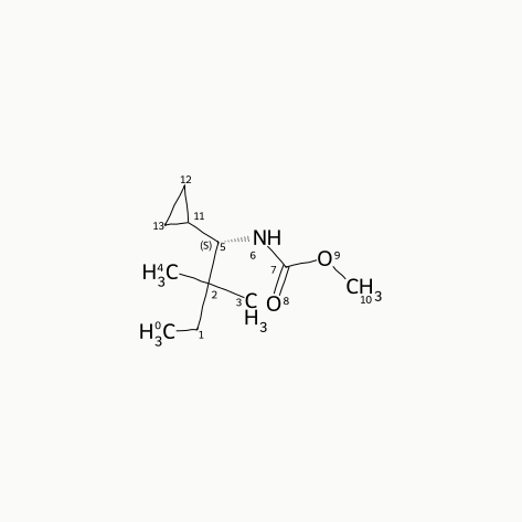 CCC(C)(C)[C@@H](NC(=O)OC)C1CC1